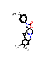 Cc1cc(C2CC2)c(CN2CCC3(CC2)CN(c2ccc(C(=O)O)cc2)C(=O)O3)cc1C(F)(F)F